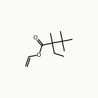 C=COC(=O)C(C)(CC)C(C)(C)C